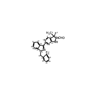 CC1(F)c2cnc(-c3nn(Cc4ccccc4F)c4ncccc34)nc2NC1C=O